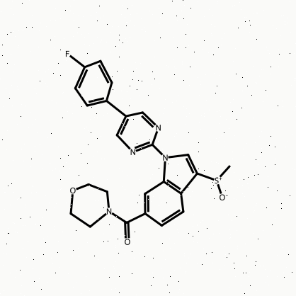 C[S+]([O-])c1cn(-c2ncc(-c3ccc(F)cc3)cn2)c2cc(C(=O)N3CCOCC3)ccc12